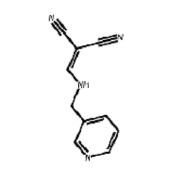 N#CC(C#N)=CNCc1cccnc1